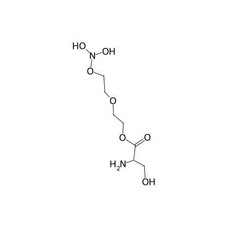 NC(CO)C(=O)OCCOCCON(O)O